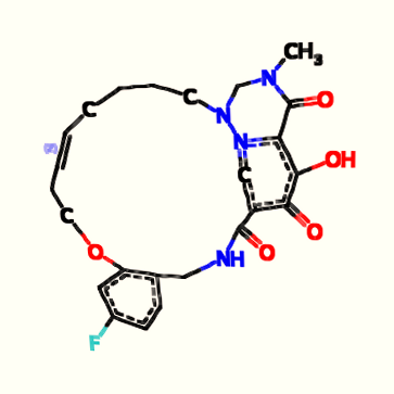 CN1CN2CCCC/C=C\CCOc3cc(F)ccc3CNC(=O)c3cn2c(c(O)c3=O)C1=O